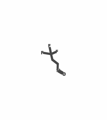 O=[S+]CCC(F)(F)F